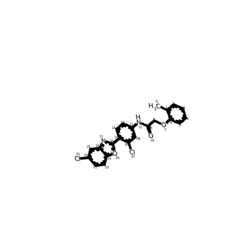 Cc1ccccc1OCC(=O)Nc1ccc(-c2nc3cc(Cl)ccc3o2)c(Cl)c1